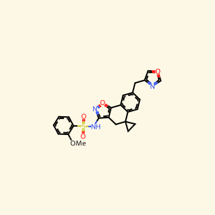 COc1ccccc1S(=O)(=O)Nc1noc2c1CC1(CC1)c1ccc(Cc3cocn3)cc1-2